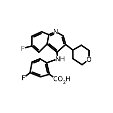 O=C(O)c1cc(F)ccc1Nc1c(C2CCOCC2)cnc2ccc(F)cc12